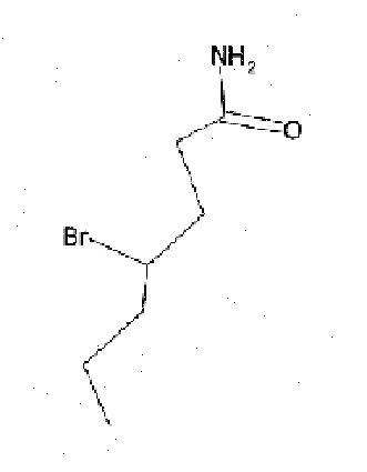 CCCC(Br)CCC(N)=O